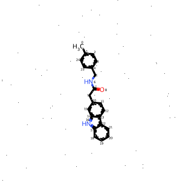 Cc1ccc(CNC(=O)Cc2ccc3c(c2)[nH]c2ccccc23)cc1